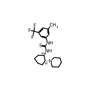 Cc1cc(NC(=S)N[C@@H]2CCCC[C@H]2N2CCCCC2)cc(C(F)(F)F)c1